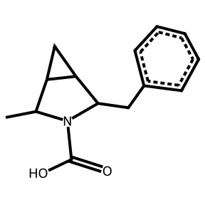 CC1C2CC2C(Cc2ccccc2)N1C(=O)O